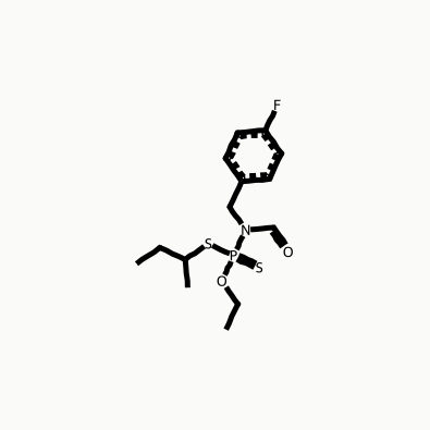 CCOP(=S)(SC(C)CC)N(C=O)Cc1ccc(F)cc1